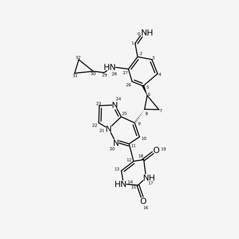 N=Cc1ccc([C@H]2C[C@@H]2c2cc(-c3c[nH]c(=O)[nH]c3=O)nn3ccnc23)cc1NCC1CC1